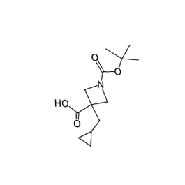 CC(C)(C)OC(=O)N1CC(CC2CC2)(C(=O)O)C1